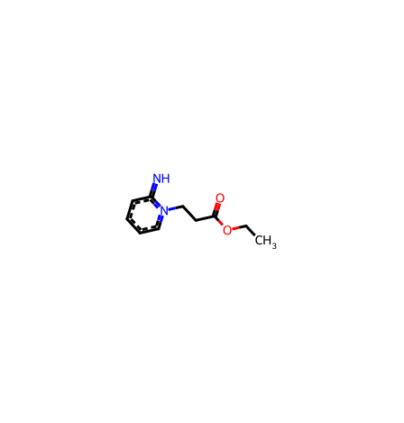 CCOC(=O)CCn1ccccc1=N